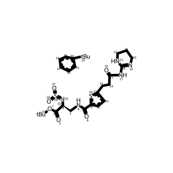 CC(C)(C)OC(=O)[C@H](CNC(=O)c1ccc(CCC(=O)NC2=NCCCN2)s1)N=S(=O)=O.CC(C)(C)c1ccccc1